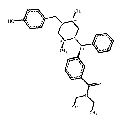 CCN(CC)C(=O)c1cccc([C@H](c2ccccc2)N2C[C@@H](C)N(Cc3ccc(O)cc3)C[C@@H]2C)c1